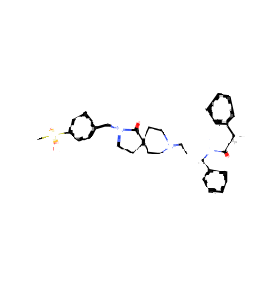 C[C@@H](C(=O)N[C@@H](CCN1CCC2(CC1)CCN(Cc1ccc(S(C)(=O)=O)cc1)C2=O)c1ccccc1)c1ccccc1